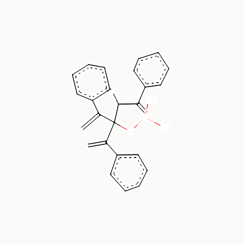 C=C(c1ccccc1)C(CC)C(OB(O)O)(C(=C)c1ccccc1)C(=C)c1ccccc1